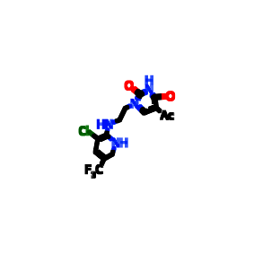 CC(=O)c1cn(CCNC2=C(Cl)C=C(C(F)(F)F)CN2)c(=O)[nH]c1=O